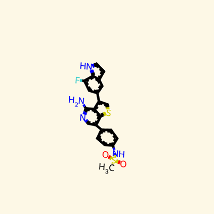 CS(=O)(=O)Nc1ccc(-c2cnc(N)c3c(-c4cc(F)c5[nH]ccc5c4)csc23)cc1